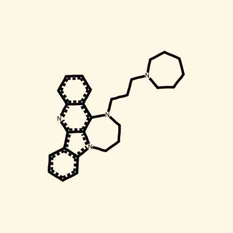 c1ccc2c3c4c(nc2c1)c1ccccc1n4CCCN3CCCN1CCCCCC1